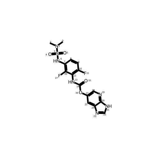 CN(C)S(=O)(=O)Nc1ccc(F)c(NC(=O)Oc2cnc3[nH]cnc3c2)c1F